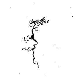 CC=CCC/C(C)=C/CC/C(C)=C/CC(=O)N[C@@H](CP(=O)(O)O)C(=O)O